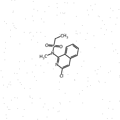 CCS(=O)(=O)N(C)c1nc(Cl)cc2ccccc12